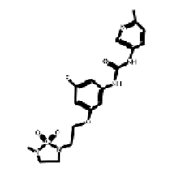 Cc1ccc(NC(=O)Nc2cc(F)cc(OCCN3CCN(C)S3(=O)=O)c2)cn1